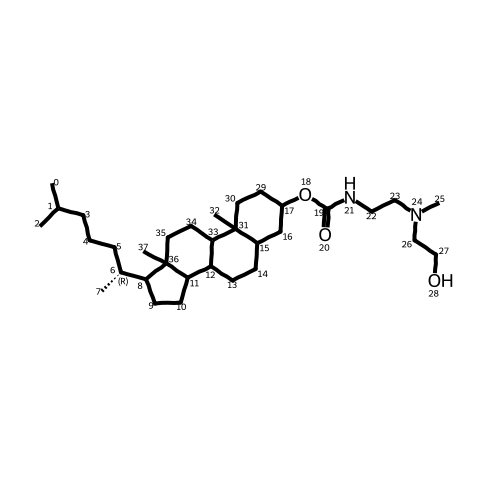 CC(C)CCC[C@@H](C)C1CCC2C3CCC4CC(OC(=O)NCCN(C)CCO)CCC4(C)C3CCC21C